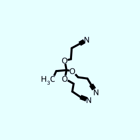 CCC(OCCC#N)(OCCC#N)OCCC#N